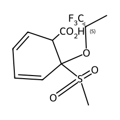 C[C@H](OC1(S(C)(=O)=O)C=CC=CC1C(=O)O)C(F)(F)F